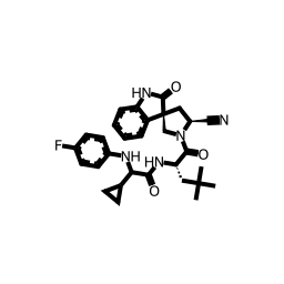 CC(C)(C)C[C@H](NC(=O)C(Nc1ccc(F)cc1)C1CC1)C(=O)N1C[C@]2(C[C@H]1C#N)C(=O)Nc1ccccc12